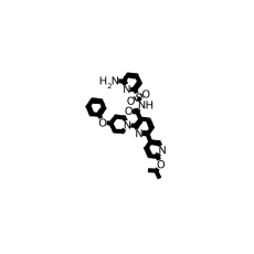 CC(C)Oc1ccc(-c2ccc(C(=O)NS(=O)(=O)c3cccc(N)n3)c(N3CCC(Oc4ccccc4)CC3)n2)cn1